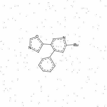 CCC(C)c1cc(-c2ccccc2)c(-c2cnco2)[c]n1